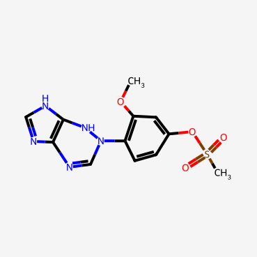 COc1cc(OS(C)(=O)=O)ccc1N1C=Nc2nc[nH]c2N1